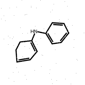 C1=CCCC(Nc2ccccc2)=C1